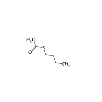 [CH2]CCCSC(C)=O